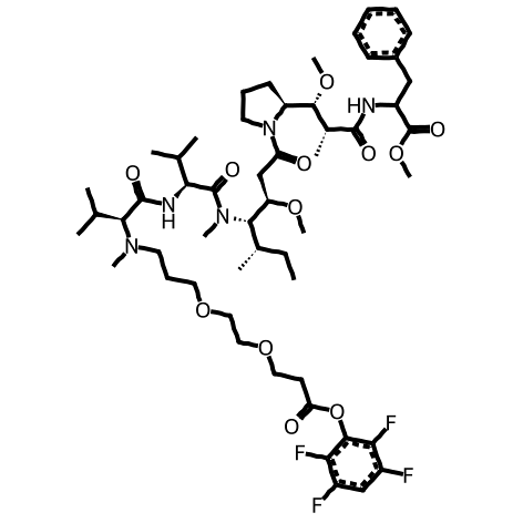 CC[C@H](C)[C@@H]([C@@H](CC(=O)N1CCC[C@H]1[C@H](OC)[C@@H](C)C(=O)NC(Cc1ccccc1)C(=O)OC)OC)N(C)C(=O)[C@@H](NC(=O)[C@H](C(C)C)N(C)CCCOCCOCCC(=O)Oc1c(F)c(F)cc(F)c1F)C(C)C